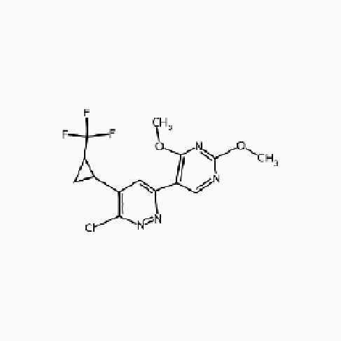 COc1ncc(-c2cc(C3CC3C(F)(F)F)c(Cl)nn2)c(OC)n1